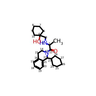 CC(NCC1(O)CCCCC1)C(=O)N1CCc2ccccc2C1C1CCCCC1